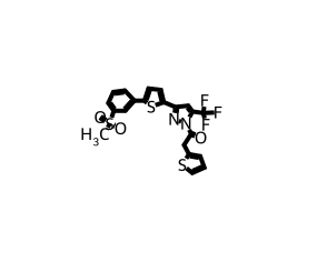 CS(=O)(=O)c1cccc(-c2ccc(-c3cc(C(F)(F)F)n(C(=O)Cc4cccs4)n3)s2)c1